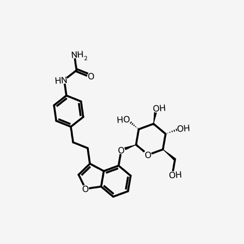 NC(=O)Nc1ccc(CCc2coc3cccc(O[C@@H]4O[C@H](CO)[C@@H](O)[C@H](O)[C@H]4O)c23)cc1